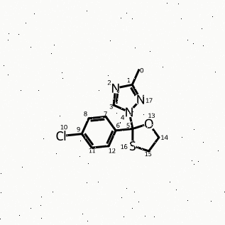 Cc1ncn(C2(c3ccc(Cl)cc3)OCCS2)n1